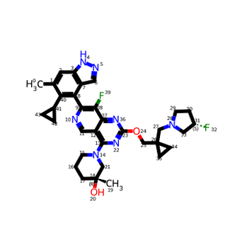 Cc1cc2[nH]ncc2c(-c2ncc3c(N4CCC[C@@](C)(O)C4)nc(OCC4(CN5CC[C@H](F)C5)CC4)nc3c2F)c1C1CC1